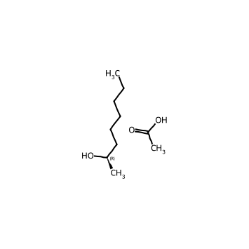 CC(=O)O.CCCCCC[C@@H](C)O